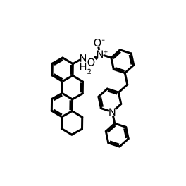 Nc1cccc2c1ccc1c3c(ccc12)CCCC3.O=[N+]([O-])c1cccc(CC2=CC=CN(c3ccccc3)C2)c1